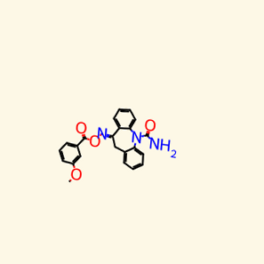 COc1cccc(C(=O)O/N=C2\Cc3ccccc3N(C(N)=O)c3ccccc32)c1